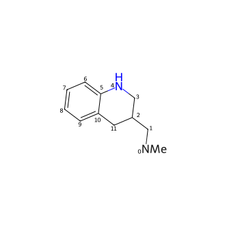 CNCC1CNc2ccccc2C1